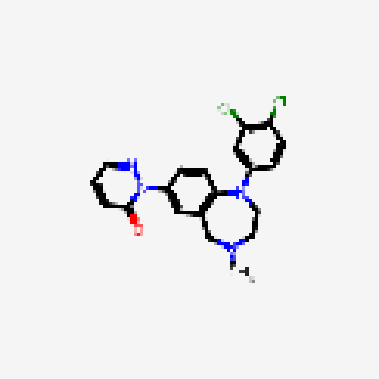 CN1CCN(c2ccc(Cl)c(Cl)c2)c2ccc(-n3ncccc3=O)cc2C1